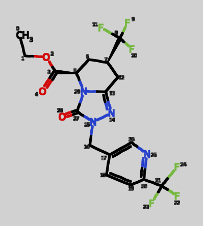 CCOC(=O)[C@H]1C[C@@H](C(F)(F)F)Cc2nn(Cc3ccc(C(F)(F)F)nc3)c(=O)n21